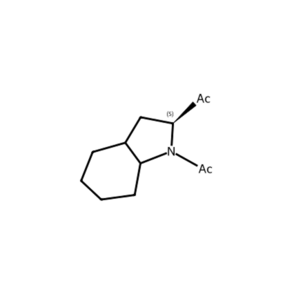 CC(=O)[C@@H]1CC2CCCCC2N1C(C)=O